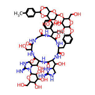 Cc1ccc(C2OCC3OC(OC4C(CO)OC(Oc5ccc(CC6NC(=O)C(C(C)c7ccccc7)NC(=O)CNC(=O)C(CO)NC(=O)C(C(O)C7CNC(=N)N7C7OC(CO)C(O)C(O)C7O)NC(=O)C(C(O)C7CNC(=N)N7)NC6=O)cc5)C(O)C4O)C(O)C(O)C3O2)cc1